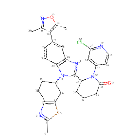 Cc1nc2c(s1)CC(n1c(C3CCCC(=O)N3c3ccnc(Cl)c3)nc3cc(-c4c(C)noc4C)ccc31)CC2